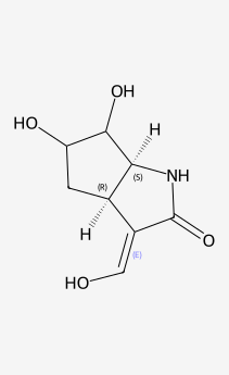 O=C1N[C@@H]2C(O)C(O)C[C@@H]2/C1=C\O